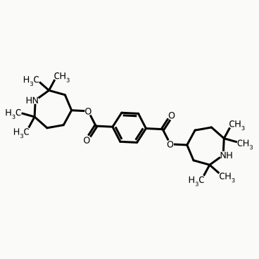 CC1(C)CCC(OC(=O)c2ccc(C(=O)OC3CCC(C)(C)NC(C)(C)C3)cc2)CC(C)(C)N1